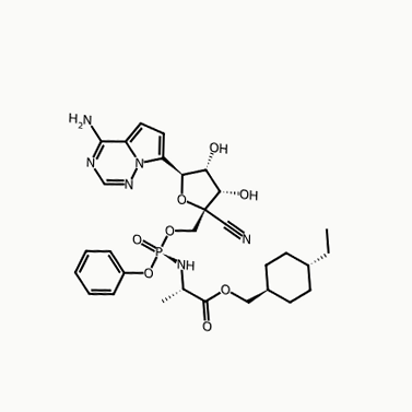 CC[C@H]1CC[C@H](COC(=O)[C@H](C)N[P@@](=O)(OC[C@@]2(C#N)O[C@@H](c3ccc4c(N)ncnn34)[C@H](O)[C@@H]2O)Oc2ccccc2)CC1